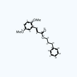 COc1ccc(OC)c(/C=C/C(=O)OCCCc2ccccc2)c1